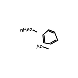 CC(C)=O.CCCCCCC.c1ccccc1